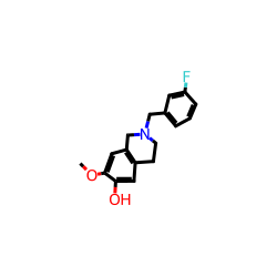 COc1cc2c(cc1O)CCN(Cc1cccc(F)c1)C2